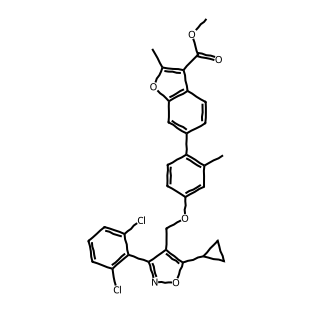 COC(=O)c1c(C)oc2cc(-c3ccc(OCc4c(-c5c(Cl)cccc5Cl)noc4C4CC4)cc3C)ccc12